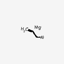 C=C[CH2][Al].[Mg]